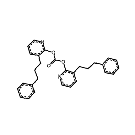 O=C(Oc1ncccc1CCCc1ccccc1)Oc1ncccc1CCCc1ccccc1